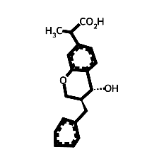 CC(C(=O)O)c1ccc2c(c1)OC[C@H](Cc1ccccc1)[C@H]2O